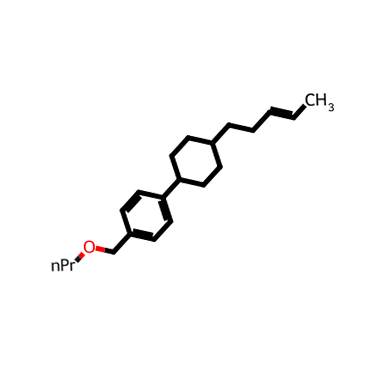 C/C=C/CCC1CCC(c2ccc(COCCC)cc2)CC1